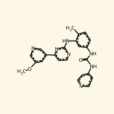 COc1cncc(-c2ccnc(Nc3cc(NC(=O)Nc4ccncc4)ccc3C)n2)c1